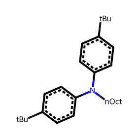 CCCCCCCCN(c1ccc(C(C)(C)C)cc1)c1ccc(C(C)(C)C)cc1